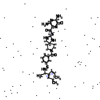 C=C/C=C(\C=C/C)C(C)NSc1cccc(C(=O)N2CCC3(CC2)CN/C(=N\C(=O)c2nc(Cl)c(N)nc2N)N3)c1